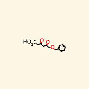 O=C(O)CC(=O)CC(=O)COCc1ccccc1